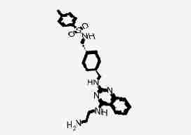 Cc1ccc(S(=O)(=O)NC[C@H]2CC[C@H](CNc3nc(NCCN)c4ccccc4n3)CC2)cc1